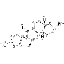 CCC[C@@H]1CC[C@@H]2c3cc(F)c(-c4ccc(C(F)(F)F)cc4)c(F)c3CC[C@@H]2C1